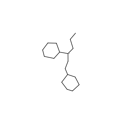 CCC[C](CCC1CCCCC1)C1CCCCC1